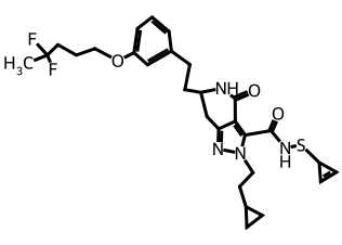 CC(F)(F)CCCOc1cccc(CCC2Cc3nn(CCC4CC4)c(C(=O)NSC4C=C4)c3C(=O)N2)c1